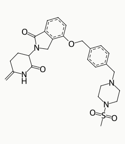 C=C1CCC(N2Cc3c(OCc4ccc(CN5CCN(S(C)(=O)=O)CC5)cc4)cccc3C2=O)C(=O)N1